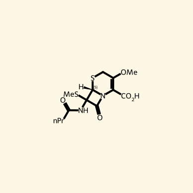 CCCC(=O)NC1(SC)C(=O)N2C(C(=O)O)=C(OC)CS[C@H]21